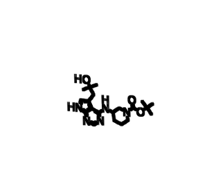 CC(C)(O)Cc1c[nH]c2ncnc(NC3CCCN(C(=O)OC(C)(C)C)C3)c12